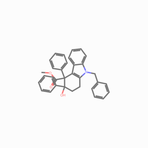 COC(=O)C1(c2ccccc2)c2c(n(Cc3ccccc3)c3ccccc23)CCC1(O)c1ccccc1